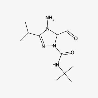 CC(C)C1=NN(C(=O)NC(C)(C)C)C(C=O)N1N